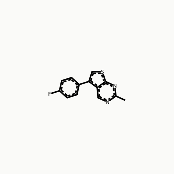 Cc1ncc2c(-c3ccc(F)cc3)csc2n1